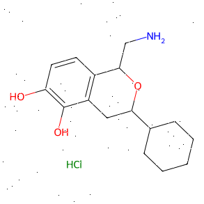 Cl.NCC1OC(C2CCCCC2)Cc2c1ccc(O)c2O